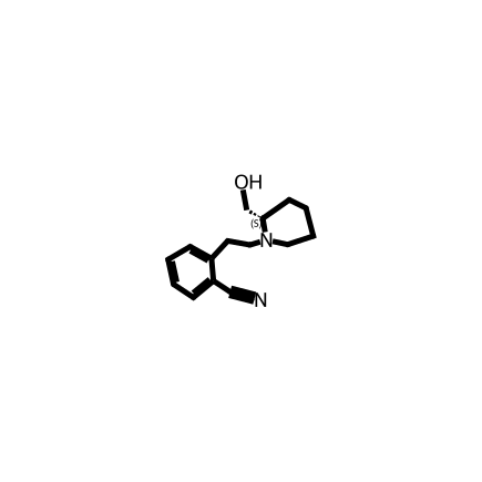 N#Cc1ccccc1CCN1CCCC[C@H]1CO